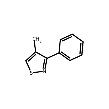 Cc1csnc1-c1ccccc1